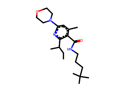 CCC(C)c1nc(N2CCOCC2)cc(C)c1C(=O)NCCCC(C)(C)C